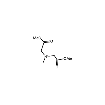 COC(=O)C[N+](C)CC(=O)OC